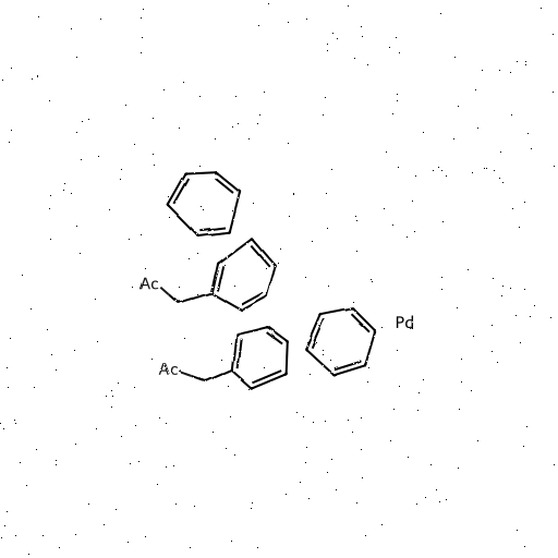 CC(=O)Cc1ccccc1.CC(=O)Cc1ccccc1.[Pd].c1ccccc1.c1ccccc1